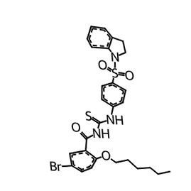 CCCCCCOc1ccc(Br)cc1C(=O)NC(=S)Nc1ccc(S(=O)(=O)N2CCc3ccccc32)cc1